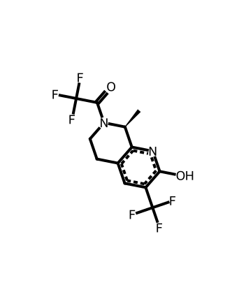 C[C@H]1c2nc(O)c(C(F)(F)F)cc2CCN1C(=O)C(F)(F)F